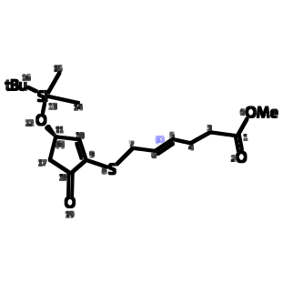 COC(=O)CC/C=C/CSC1=C[C@H](O[Si](C)(C)C(C)(C)C)CC1=O